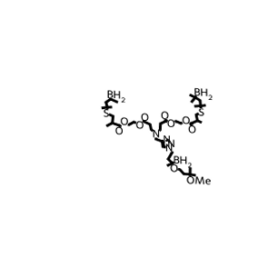 BC(C)CC(C)(C)SCC(C)C(=O)OCCOC(=O)CCN(CCC(=O)OCCOC(=O)C(C)CSC(C)(C)CC(B)(C)C)Cc1cn(CCC(B)(C)OCCC(C)(C)OC)nn1